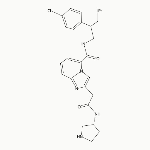 CC(C)CC(CNC(=O)c1cccc2nc(CC(=O)N[C@@H]3CCNC3)cn12)c1ccc(Cl)cc1